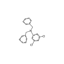 Clc1cc(Cl)cc(N(Cc2ccccc2)Cc2ccccc2)c1